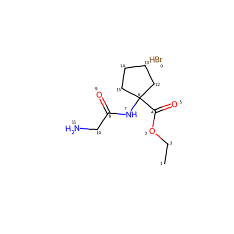 Br.CCOC(=O)C1(NC(=O)CN)CCCC1